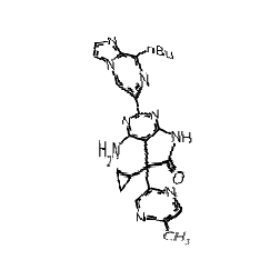 CCCCc1nc(-c2nc(N)c3c(n2)NC(=O)C3(c2cnc(C)cn2)C2CC2)cn2ccnc12